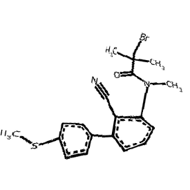 CSc1ccc(-c2cccc(N(C)C(=O)C(C)(C)Br)c2C#N)cc1